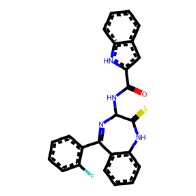 O=C(NC1N=C(c2ccccc2F)c2ccccc2NC1=S)c1cc2ccccc2[nH]1